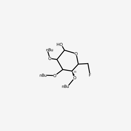 CCCCOC1C(O)OC(CF)[C@@H](OCCCC)C1OCCCC